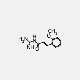 COc1ccccc1C=CC(=O)NC(=N)N